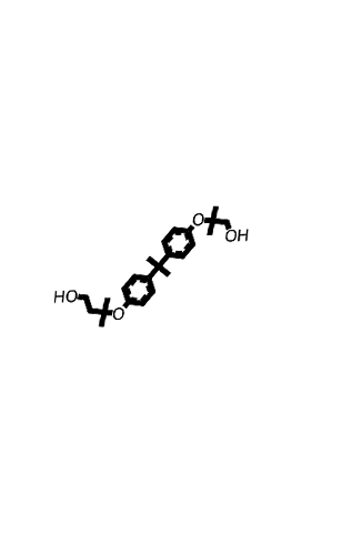 CC(C)(CO)Oc1ccc(C(C)(C)c2ccc(OC(C)(C)CCO)cc2)cc1